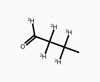 [2H]C(=O)C([2H])([2H])C([2H])([2H])C